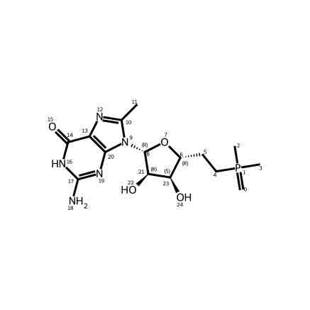 C=P(C)(C)CC[C@H]1O[C@@H](n2c(C)nc3c(=O)[nH]c(N)nc32)[C@H](O)[C@@H]1O